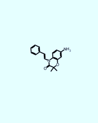 CC1(C)Oc2cc(N)ccc2N(C=Cc2ccccc2)C1=O